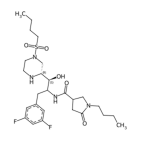 CCCCN1CC(C(=O)NC(Cc2cc(F)cc(F)c2)[C@H](O)[C@H]2CN(S(=O)(=O)CCCC)CCN2)CC1=O